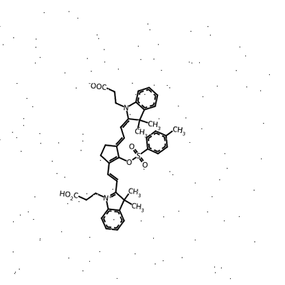 Cc1ccc(S(=O)(=O)OC2=C(/C=C/C3=[N+](CCC(=O)O)c4ccccc4C3(C)C)CC/C2=C\C=C2\N(CCC(=O)[O-])c3ccccc3C2(C)C)cc1